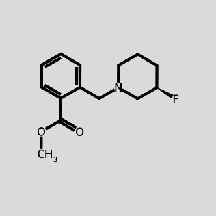 COC(=O)c1ccccc1CN1CCC[C@@H](F)C1